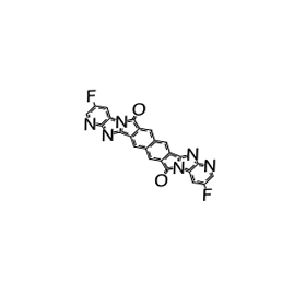 O=c1c2cc3cc4c(cc3cc2c2nc3ncc(F)cc3n12)c(=O)n1c2cc(F)cnc2nc41